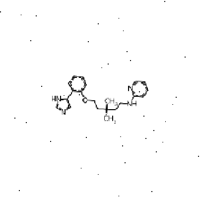 CC(C)(CCNc1ccccn1)CCOc1ccccc1-c1cnc[nH]1